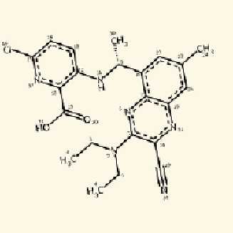 CCN(CC)c1nc2c([C@@H](C)Nc3ccc(Cl)nc3C(=O)O)cc(C)cc2nc1C#N